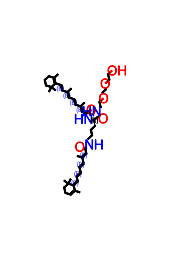 CC1=CCCC(C)(C)\C1=C/C=C/C=C/C(C)=C/C(=O)NCCCC[C@@H](NC(=O)/C=C(C)/C=C/C=C(C)/C=C/C1=C(C)CCCC1(C)C)C(=O)NCCOCCOCCO